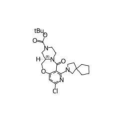 CC(C)(C)OC(=O)N1CCN2C(=O)c3c(cc(Cl)nc3N3CCC4(CCCC4)C3)OC[C@H]2C1